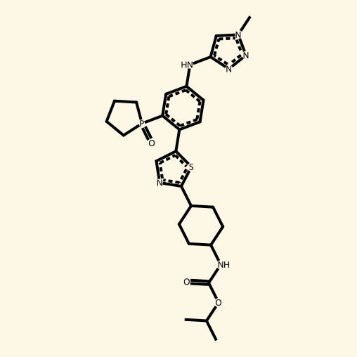 CC(C)OC(=O)NC1CCC(c2ncc(-c3ccc(Nc4cn(C)nn4)cc3P3(=O)CCCC3)s2)CC1